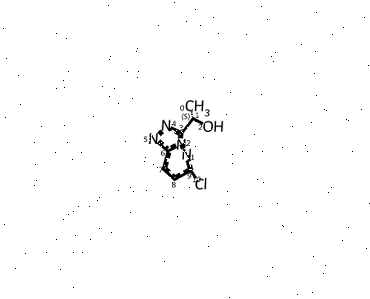 C[C@H](O)c1nnc2ccc(Cl)nn12